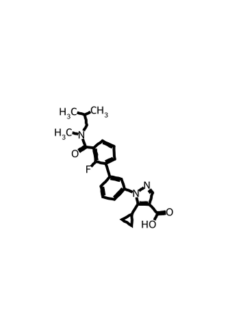 CC(C)CN(C)C(=O)c1cccc(-c2cccc(-n3ncc(C(=O)O)c3C3CC3)c2)c1F